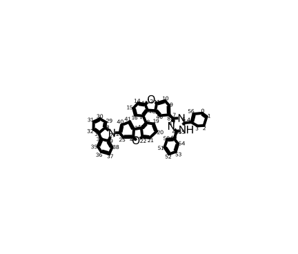 C1=CCCC(C2=NC(c3ccc4oc5cccc(-c6cccc7oc8cc(-n9c%10ccccc%10c%10ccccc%109)ccc8c67)c5c4c3)=NC(c3ccccc3)N2)=C1